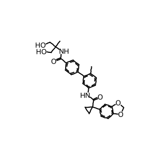 Cc1ccc(NC(=O)C2(c3ccc4c(c3)OCO4)CC2)cc1-c1ccc(C(=O)NC(C)(CO)CO)cc1